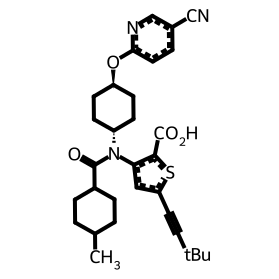 CC1CCC(C(=O)N(c2cc(C#CC(C)(C)C)sc2C(=O)O)[C@H]2CC[C@H](Oc3ccc(C#N)cn3)CC2)CC1